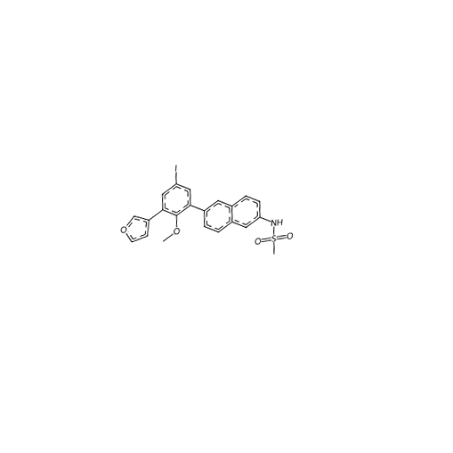 COc1c(-c2ccoc2)cc(I)cc1-c1ccc2cc(NS(C)(=O)=O)ccc2c1